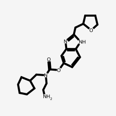 NCCN(CC1CCCCC1)C(=O)Oc1ccc2[nH]c(CC3CCCO3)nc2c1